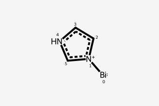 [Bi][n+]1cc[nH]c1